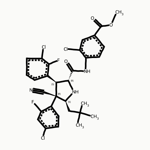 COC(=O)c1ccc(NC(=O)[C@@H]2N[C@@H](CC(C)(C)C)[C@](C#N)(c3ccc(Cl)cc3F)[C@H]2c2cccc(Cl)c2F)c(Cl)c1